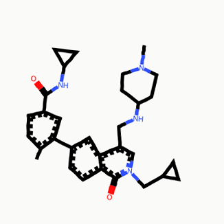 Cc1ccc(C(=O)NC2CC2)cc1-c1ccc2c(=O)n(CC3CC3)cc(CNC3CCN(C)CC3)c2c1